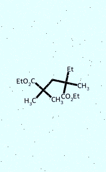 CCOC(=O)C(C)(C)CC(C)(CC)C(=O)OCC